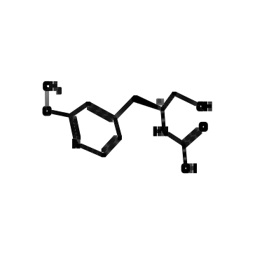 COc1cc(C[C@@H](CO)NC(=O)O)ccn1